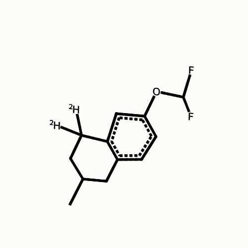 [2H]C1([2H])CC(C)Cc2ccc(OC(F)F)cc21